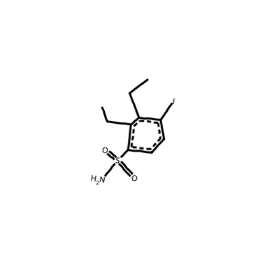 CCc1c(I)ccc(S(N)(=O)=O)c1CC